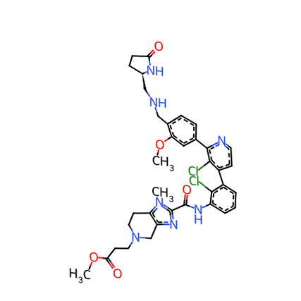 COC(=O)CCN1CCc2c(nc(C(=O)Nc3cccc(-c4ccnc(-c5ccc(CNC[C@H]6CCC(=O)N6)c(OC)c5)c4Cl)c3Cl)n2C)C1